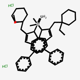 CCC1(CC2=Cc3c(-c4ccccc4)cccc3[CH]2[Zr]([CH3])([CH3])(=[SiH2])[CH]2C(CC3(CC)CCCCC3)=Cc3c(-c4ccccc4)cccc32)CCCCC1.Cl.Cl